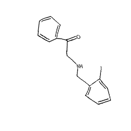 O=C(CNCc1ccccc1I)c1ccccc1